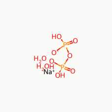 O.O.O=P([O-])(O)OP(=O)(O)O.[Na+]